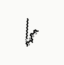 CCCCCCCCCCCCCCSc1cc(C)sc1-c1sc(-c2ccc(-c3ccc(C)s3)s2)cc1C